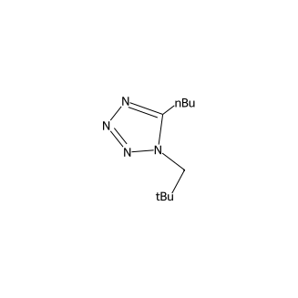 CCCCc1nnnn1CC(C)(C)C